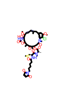 COc1cc2cc(c1Cl)N(C)C(=O)CC(OC(=O)[C@H](C)N(C)C(=O)[C@H](CSC)NC(=O)CCCCCN1C(=O)C=CC1=O)C1(C)OC1C(C)C1CC(O)(NC(=O)O1)C(OC)/C=C/C=C(\C)C2